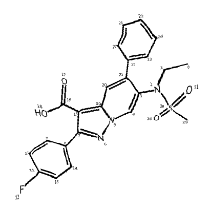 CCN(c1cn2nc(-c3ccc(F)cc3)c(C(=O)O)c2cc1-c1ccccc1)S(C)(=O)=O